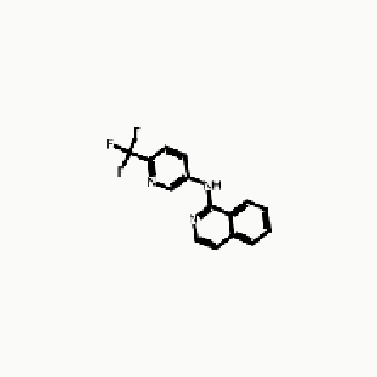 FC(F)(F)c1ccc(Nc2nccc3ccccc23)cn1